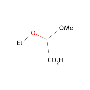 CCOC(OC)C(=O)O